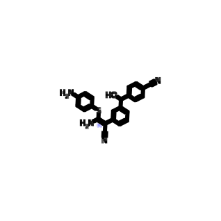 N#C/C(=C(\N)Sc1ccc(N)cc1)c1cccc(C(O)c2ccc(C#N)cc2)c1